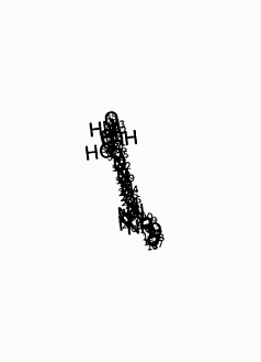 Nc1ncnc2c1c(-c1ccc(Oc3ccccc3)cc1)nn2C1CC2CN(C3CN(C4CN(c5ccc(C(=O)NC6CCC(=O)NC6=O)c(O)c5)C4)C3)CC2C1